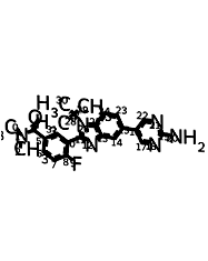 CN(C)C(=O)c1ccc(F)c(-c2nc3cc(-c4cnc(N)nc4)ccc3n2C(C)(C)C)c1